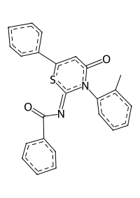 Cc1ccccc1-n1c(=O)cc(-c2ccccc2)sc1=NC(=O)c1ccccc1